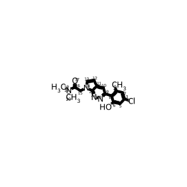 Cc1cc(Cl)cc(O)c1-c1cc2ccn(CC(=O)N(C)C)c2nn1